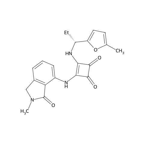 CC[C@@H](Nc1c(Nc2cccc3c2C(=O)N(C)C3)c(=O)c1=O)c1ccc(C)o1